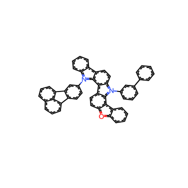 c1ccc(-c2cccc(-n3c4ccc5c6ccccc6n(-c6ccc7c(c6)-c6cccc8cccc-7c68)c5c4c4ccc5oc6ccccc6c5c43)c2)cc1